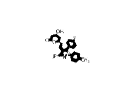 Cc1ccc(-n2nc(C(C)C)c(CC[C@@H]3C[C@@H](O)CC(=O)O3)c2-c2ccc(F)cc2)cc1